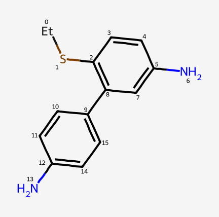 CCSc1ccc(N)cc1-c1ccc(N)cc1